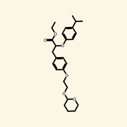 CCOC(=O)C(Cc1ccc(OCCOC2CCCCO2)cc1)Oc1ccc(C(C)C)cc1